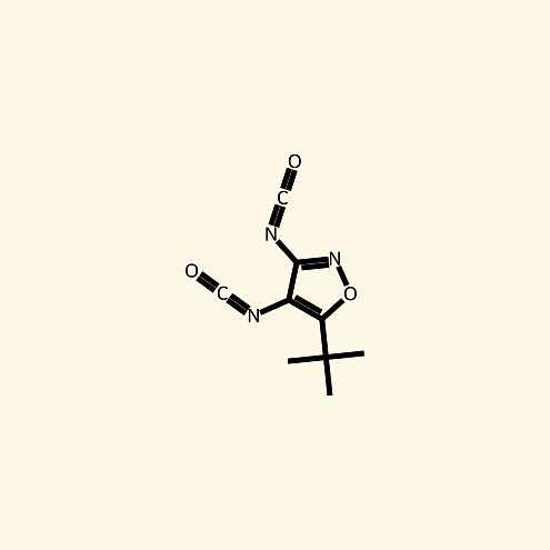 CC(C)(C)c1onc(N=C=O)c1N=C=O